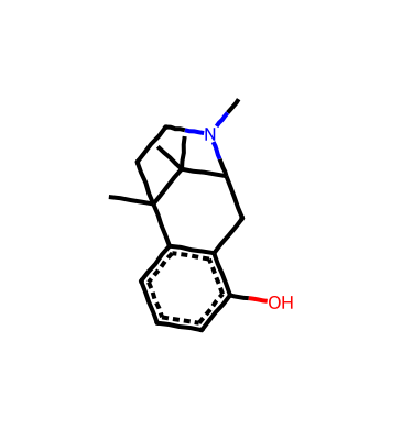 CN1CCC2(C)c3cccc(O)c3CC1C2(C)C